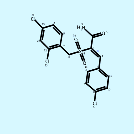 NC(=O)/C(=C/c1ccc(Cl)cc1)S(=O)(=O)Cc1ccc(Cl)cc1Cl